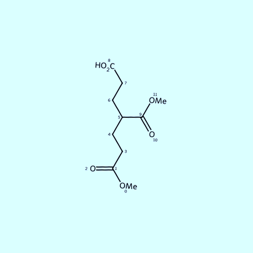 COC(=O)CCC(CCC(=O)O)C(=O)OC